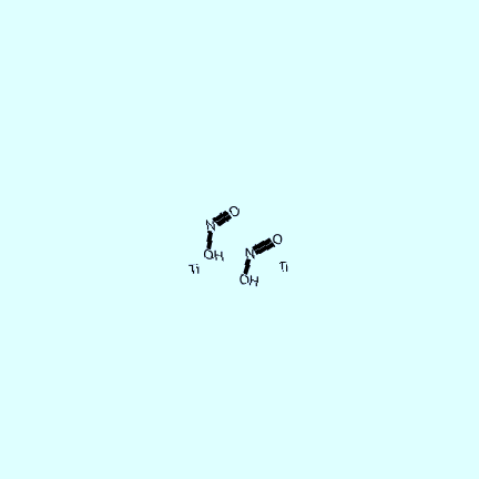 O=NO.O=NO.[Ti].[Ti]